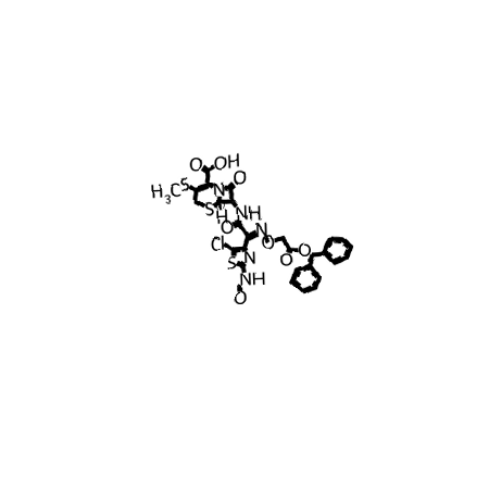 CSC1=C(C(=O)O)N2C(=O)C(NC(=O)C(=NOCC(=O)OC(c3ccccc3)c3ccccc3)c3nc(NC=O)sc3Cl)[C@@H]2SC1